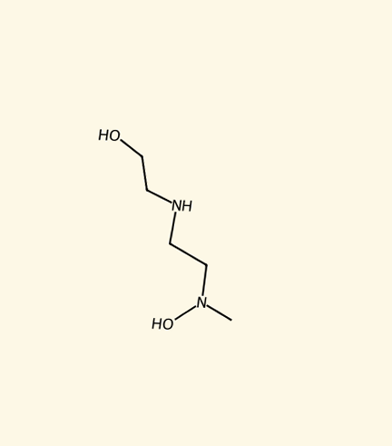 CN(O)CCNCCO